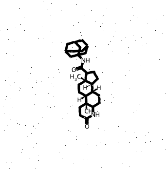 C[C@]12CCC(=O)NC1CC[C@@H]1[C@H]2CC[C@]2(C)C(C(=O)NC34CC5CC(CC(C5)C3)C4)CC[C@@H]12